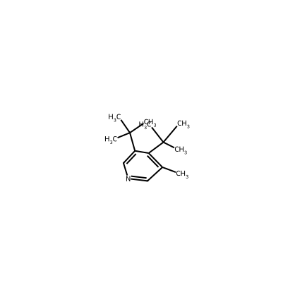 Cc1cncc(C(C)(C)C)c1C(C)(C)C